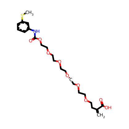 C=C(CCOCCOCCOCCOCCOCCOC(=O)Nc1cccc(SC)c1)C(=O)O